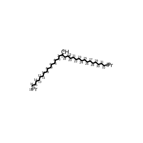 C=C(CCCCCCCCCCCCCCCC(C)C)CCCCCCCCCCCCCCCC(C)C